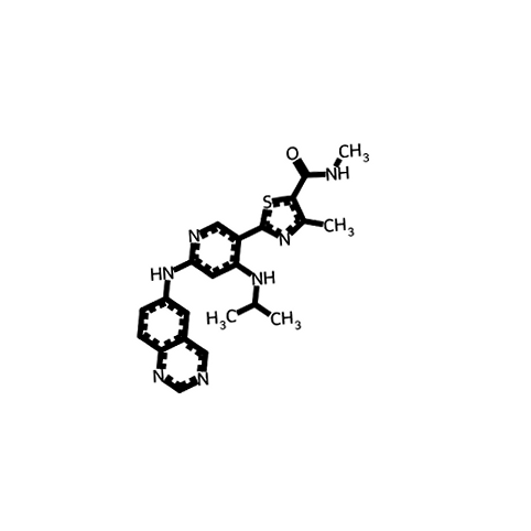 CNC(=O)c1sc(-c2cnc(Nc3ccc4ncncc4c3)cc2NC(C)C)nc1C